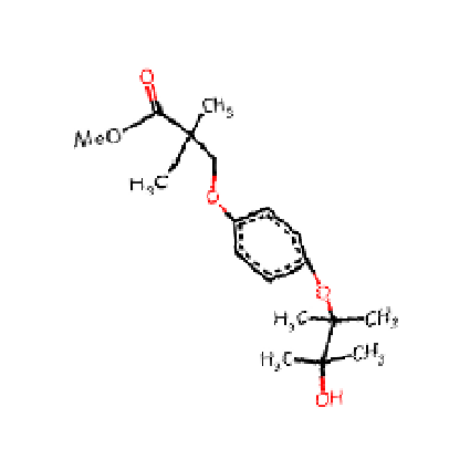 COC(=O)C(C)(C)COc1ccc(OC(C)(C)C(C)(C)O)cc1